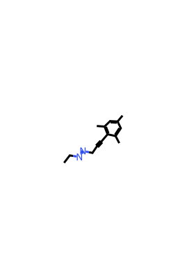 CCN=NCC#Cc1c(C)cc(C)cc1C